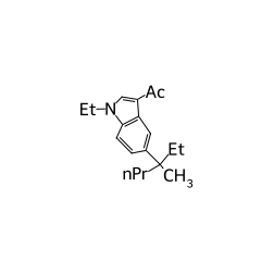 CCCC(C)(CC)c1ccc2c(c1)c(C(C)=O)cn2CC